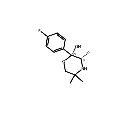 C[C@@H]1NC(C)(C)CO[C@@]1(O)c1ccc(F)cc1